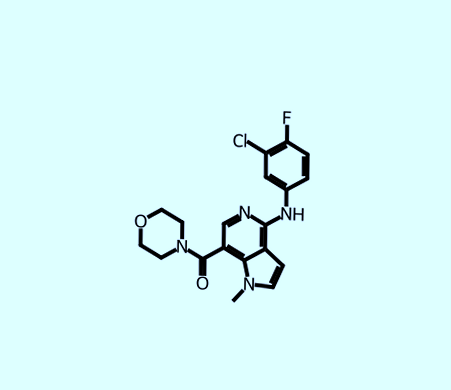 Cn1ccc2c(Nc3ccc(F)c(Cl)c3)ncc(C(=O)N3CCOCC3)c21